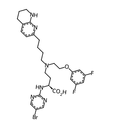 O=C(O)[C@H](CCN(CCCCc1ccc2c(n1)NCCC2)CCOc1cc(F)cc(F)c1)Nc1ncc(Br)cn1